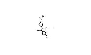 CCCn1c(-c2ccc(NS(=O)(=O)C3CC3)cc2)c(C#N)c2ccc(OC)cc21